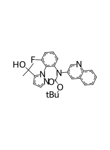 CC(C)(C)OC(=O)N(c1cnc2ccccc2c1)c1cccc(F)c1-n1nccc1C(C)(C)O